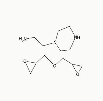 C(OCC1CO1)C1CO1.NCCN1CCNCC1